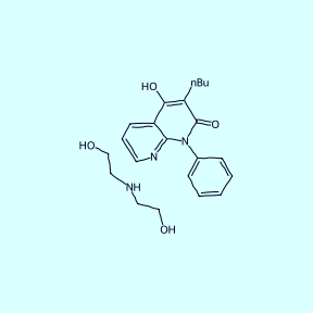 CCCCc1c(O)c2cccnc2n(-c2ccccc2)c1=O.OCCNCCO